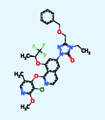 CCn1c(COCc2ccccc2)nn(-c2cc(O[C@@H](C)C(F)(F)F)c3c(Oc4c(C)cnc(OC)c4Cl)nccc3c2)c1=O